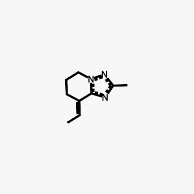 C/C=C1\CCCn2nc(C)nc21